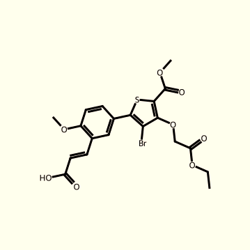 CCOC(=O)COc1c(C(=O)OC)sc(-c2ccc(OC)c(/C=C/C(=O)O)c2)c1Br